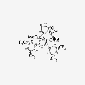 COc1c(-c2cc(C(F)(F)F)cc(C(F)(F)F)c2)cc(-c2cc(C(F)(F)F)cc(C(F)(F)F)c2)c(OC)c1-c1cccc2c1P(C(C)(C)C)CO2